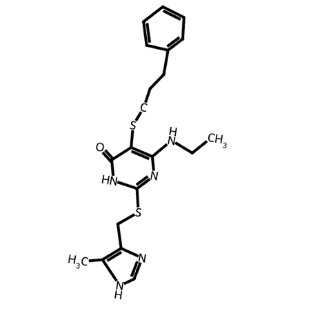 CCNc1nc(SCc2nc[nH]c2C)[nH]c(=O)c1SCCCc1ccccc1